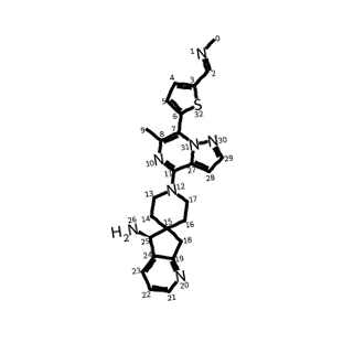 C/N=C/c1ccc(-c2c(C)nc(N3CCC4(CC3)Cc3ncccc3[C@H]4N)c3ccnn23)s1